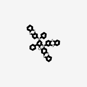 Oc1c(-c2ccccc2)cc(N(c2ccccc2)c2ccc3c(c2)Sc2ccccc2S3)cc1N(c1ccc2c(c1)Sc1ccccc1S2)c1ccc2c(c1)Sc1ccccc1S2